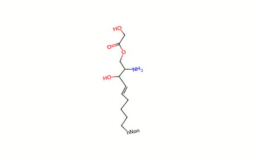 CCCCCCCCCCCCC/C=C/C(O)C(N)COC(=O)CO